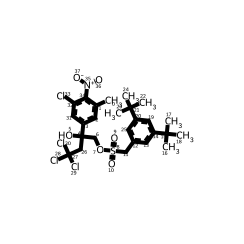 Cc1cc(C(O)(COS(=O)(=O)Cc2cc(C(C)(C)C)cc(C(C)(C)C)c2)CC(Cl)(Cl)Cl)cc(Cl)c1[N+](=O)[O-]